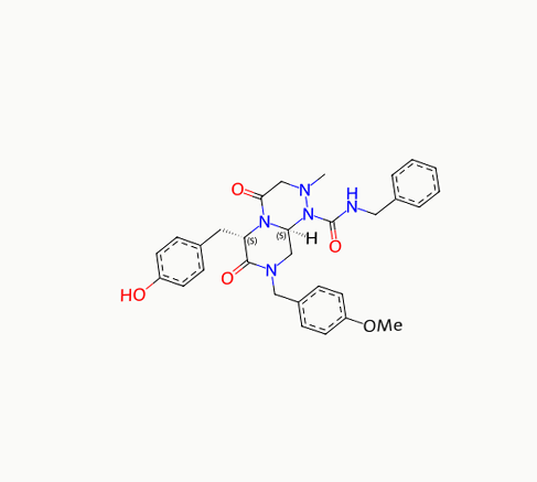 COc1ccc(CN2C[C@H]3N(C(=O)CN(C)N3C(=O)NCc3ccccc3)[C@@H](Cc3ccc(O)cc3)C2=O)cc1